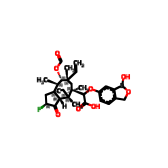 C=C[C@]1(C)C[C@@H](C(Oc2ccc3c(c2)B(O)OC3)C(=O)O)[C@@]2(C)[C@H](C)CC[C@]3(C[C@H](F)C(=O)[C@H]32)[C@@H](C)[C@@H]1OC=O